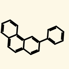 [c]1cccc2c1ccc1ccc(-c3ccccc3)cc12